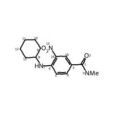 CNC(=O)c1ccc(NC2CCCCC2)c([N+](=O)[O-])c1